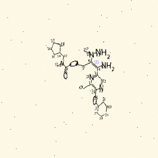 Cc1nc(/C(N)=C(\COC(=O)N(C)CC2CCCC2)N(C)N)cnc1OC1CCCCC1